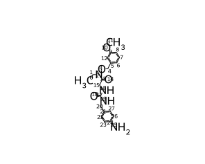 CCN(OCc1cccc(OC)c1)C(=O)CNC(=O)NCc1ccc(N)cc1